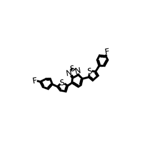 Fc1ccc(-c2ccc(-c3ccc(-c4ccc(-c5ccc(F)cc5)s4)c4nsnc34)s2)cc1